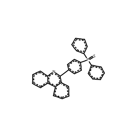 S=P(c1ccccc1)(c1ccccc1)c1ccc(-c2nc3ccccc3c3ccccc23)cc1